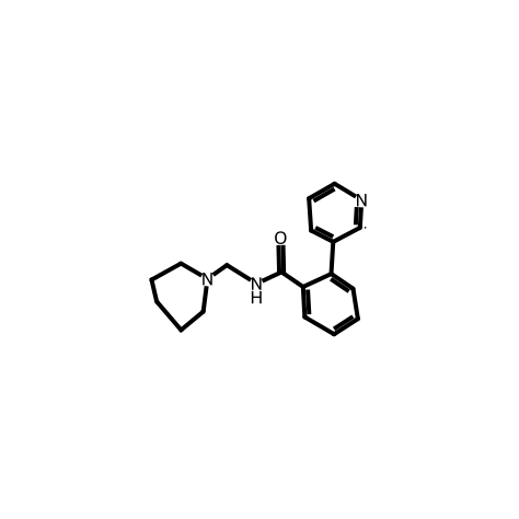 O=C(NCN1CCCCC1)c1ccccc1-c1[c]nccc1